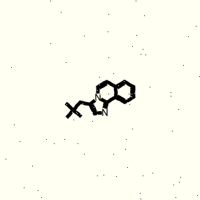 CC(C)(C)Cc1cnc2c3ccccc3ccn12